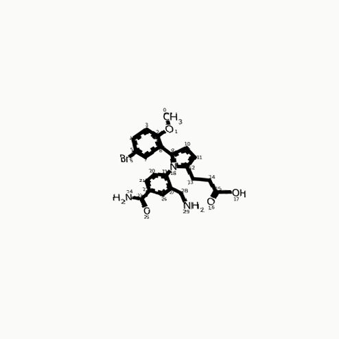 COc1ccc(Br)cc1-c1ccc(CCC(=O)O)n1-c1ccc(C(N)=O)cc1CN